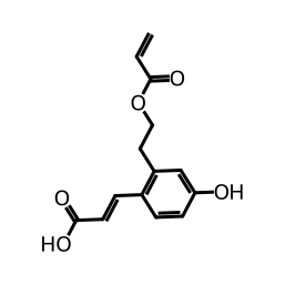 C=CC(=O)OCCc1cc(O)ccc1C=CC(=O)O